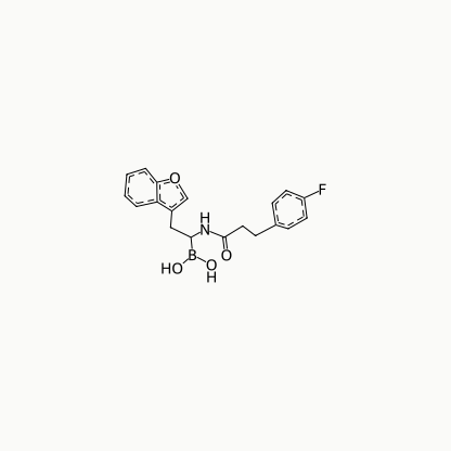 O=C(CCc1ccc(F)cc1)NC(Cc1coc2ccccc12)B(O)O